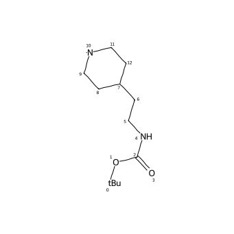 CC(C)(C)OC(=O)NCCC1CC[N]CC1